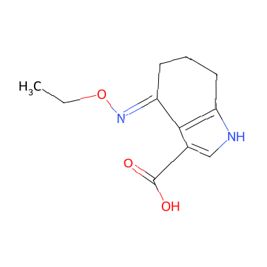 CCON=C1CCCc2[nH]cc(C(=O)O)c21